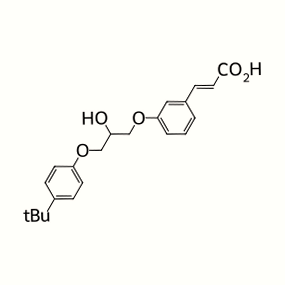 CC(C)(C)c1ccc(OCC(O)COc2cccc(C=CC(=O)O)c2)cc1